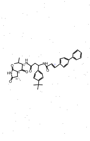 CC(C)[C@H](NC(=O)CC(NC(=O)/C=C/c1ccc(-c2ccccc2)cc1)c1ccc(C(C)(C)C)cc1)C(=O)[C@@H]1C(=O)NC(=O)[C@H]1C